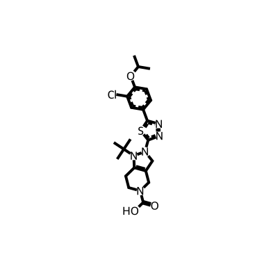 CC(C)Oc1ccc(-c2nnc(N3CC4=C(CCN(C(=O)O)C4)N3C(C)(C)C)s2)cc1Cl